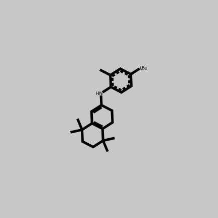 Cc1cc(C(C)(C)C)ccc1NC1=CC2=C(CC1)C(C)(C)CCC2(C)C